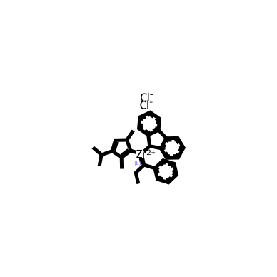 CC/[C](c1ccccc1)=[Zr+2](\[C]1=C(C)C(C(C)C)=CC1C)[CH]1c2ccccc2-c2ccccc21.[Cl-].[Cl-]